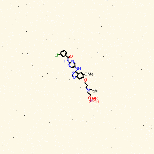 COc1cc2c(Nc3cnc(NC(=O)c4cccc(Cl)c4)nc3)ncnc2cc1OCCCN(CCOP(=O)(O)O)CC(C)(C)C